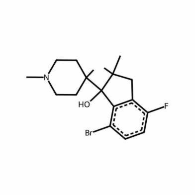 CN1CCC(C)(C2(O)c3c(Br)ccc(F)c3CC2(C)C)CC1